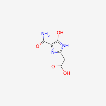 NC(=O)c1nc(CC(=O)O)[nH]c1O